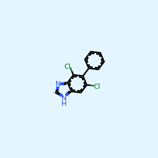 Clc1cc2[nH][c]nc2c(Cl)c1-c1ccccc1